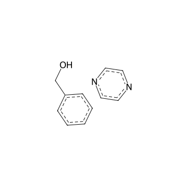 OCc1ccccc1.c1cnccn1